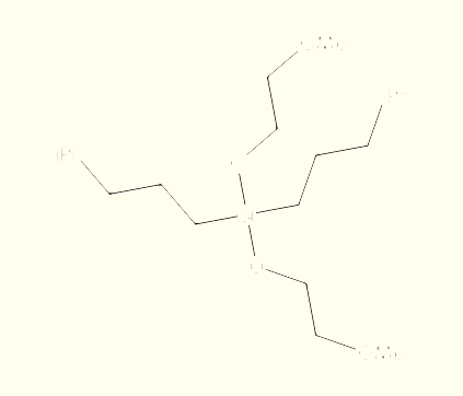 COCCO[Si](CCCC(C)C)(CCCC(C)C)OCCOC